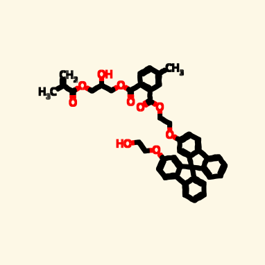 C=C(C)C(=O)OCC(O)COC(=O)c1ccc(C)cc1C(=O)OCCOc1ccc2c(c1)C1(c3ccccc3-c3ccc(OCCO)cc31)c1ccccc1-2